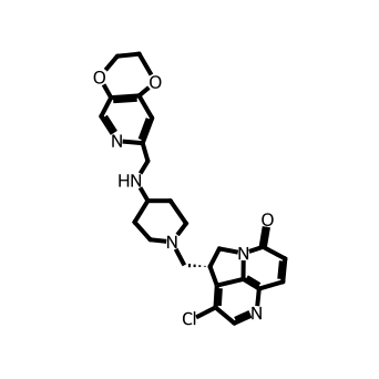 O=c1ccc2ncc(Cl)c3c2n1C[C@H]3CN1CCC(NCc2cc3c(cn2)OCCO3)CC1